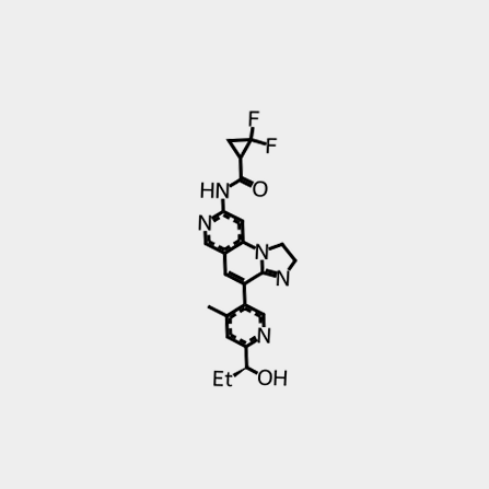 CC[C@H](O)c1cc(C)c(C2=Cc3cnc(NC(=O)C4CC4(F)F)cc3N3CCN=C23)cn1